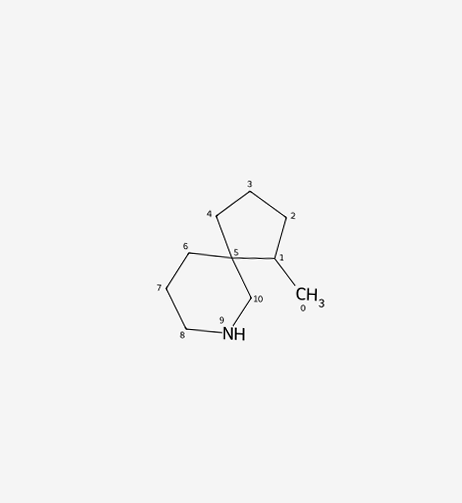 CC1CCCC12CCCNC2